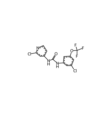 O=C(Nc1cc(Cl)cc(OC(F)(F)F)c1)Nc1ccnc(Cl)c1